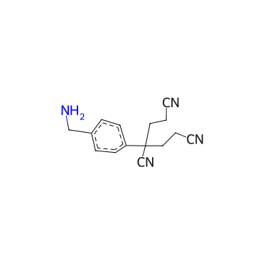 N#CCCC(C#N)(CCC#N)c1ccc(CN)cc1